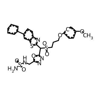 COc1ccc(OCCCS(=O)(=O)C(c2nnc(CNS(N)(=O)=O)o2)c2nc3ccc(-c4ccccc4)cc3s2)cc1